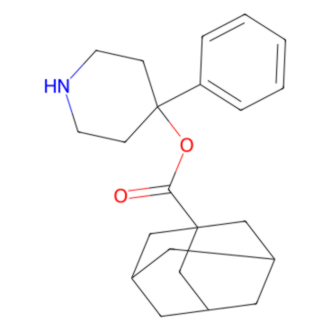 O=C(OC1(c2ccccc2)CCNCC1)C12CC3CC(CC(C3)C1)C2